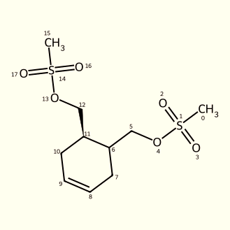 CS(=O)(=O)OCC1CC=CC[C@H]1COS(C)(=O)=O